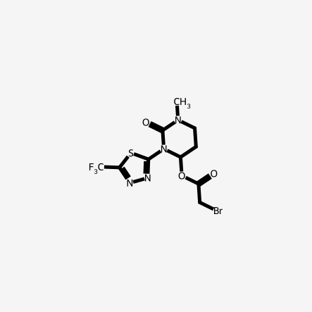 CN1CCC(OC(=O)CBr)N(c2nnc(C(F)(F)F)s2)C1=O